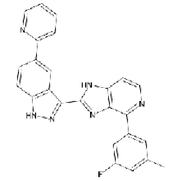 Cc1cc(F)cc(-c2nccc3[nH]c(-c4n[nH]c5ccc(-c6ccccn6)cc45)nc23)c1